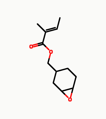 CC=C(C)C(=O)OCC1CCC2OC2C1